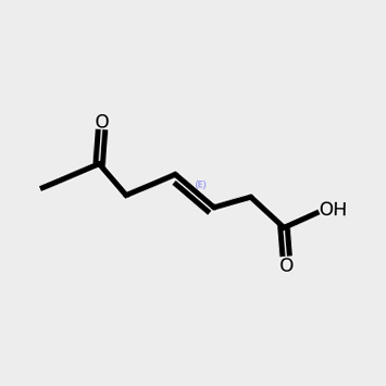 CC(=O)C/C=C/CC(=O)O